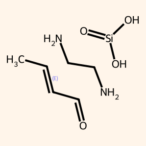 C/C=C/C=O.NCCN.O=[Si](O)O